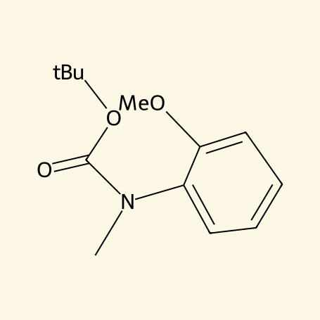 COc1ccccc1N(C)C(=O)OC(C)(C)C